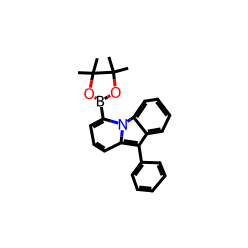 CC1(C)OB(c2cccc3c(-c4ccccc4)c4ccccc4n23)OC1(C)C